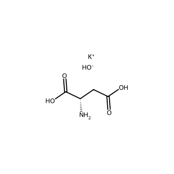 N[C@@H](CC(=O)O)C(=O)O.[K+].[OH-]